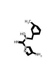 Cc1cccc(CN(O)C(=N)n2cc(N)cn2)c1